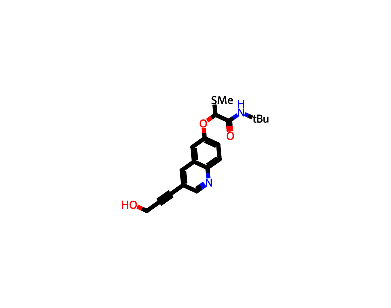 CSC(Oc1ccc2ncc(C#CCO)cc2c1)C(=O)NC(C)(C)C